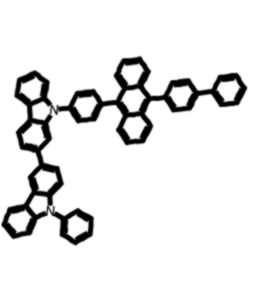 c1ccc(-c2ccc(-c3c4ccccc4c(-c4ccc(-n5c6ccccc6c6ccc(-c7ccc8c(c7)c7ccccc7n8-c7ccccc7)cc65)cc4)c4ccccc34)cc2)cc1